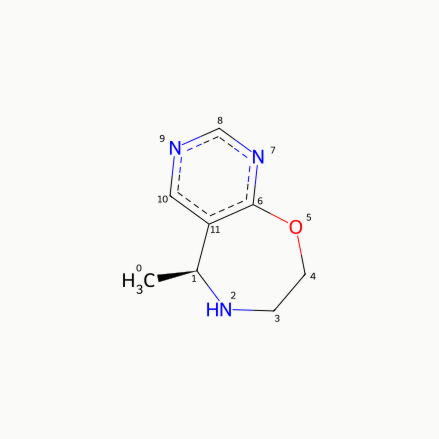 C[C@@H]1NCCOc2ncncc21